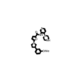 COc1cccc(C2CCN(c3ccc(C(=O)Nc4cnccc4N4CCNCC4)o3)C2)c1